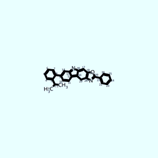 CC(C)c1ccccc1-c1ccc2c(c1)=NC1=Cc3oc(-c4ccccc4)nc3CC=21